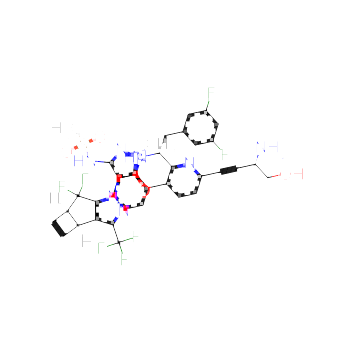 Cn1nc(NS(C)(=O)=O)c2cccc(-c3ccc(C#C[C@@H](N)CO)nc3[C@H](Cc3cc(F)cc(F)c3)NC(=O)Cn3nc(C(F)(F)F)c4c3C(F)(F)[C@@H]3C#C[C@H]43)c21